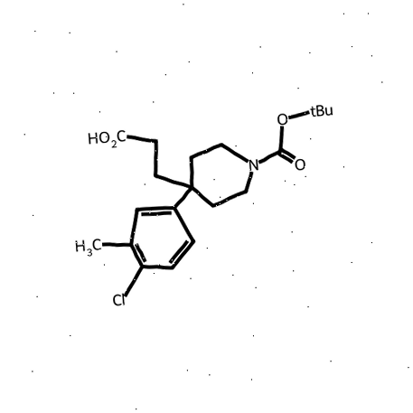 Cc1cc(C2(CCC(=O)O)CCN(C(=O)OC(C)(C)C)CC2)ccc1Cl